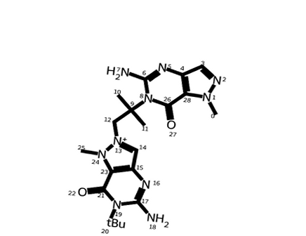 Cn1ncc2nc(N)n(C(C)(C)C[n+]3cc4nc(N)n(C(C)(C)C)c(=O)c4n3C)c(=O)c21